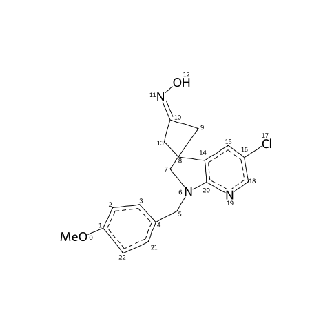 COc1ccc(CN2CC3(CC(=NO)C3)c3cc(Cl)cnc32)cc1